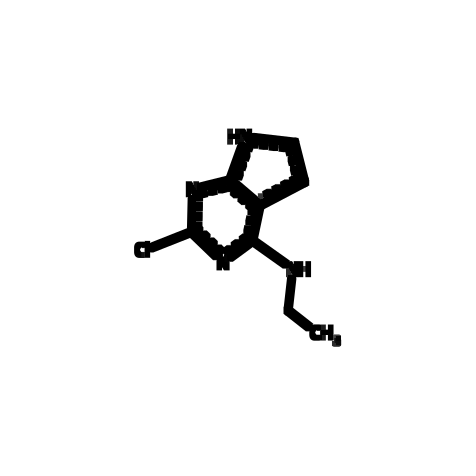 CCNc1nc(Cl)nc2[nH]ccc12